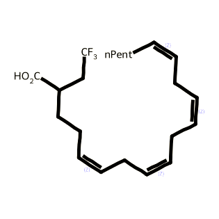 CCCCC/C=C\C/C=C\C/C=C\C/C=C\CCC(CC(F)(F)F)C(=O)O